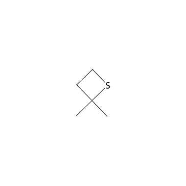 CC1(C)CCS1